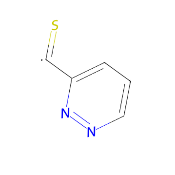 S=[C]c1cccnn1